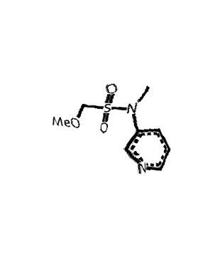 COCS(=O)(=O)N(C)c1cccnc1